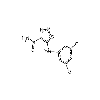 NC(=O)c1nnsc1Nc1cc(Cl)cc(Cl)c1